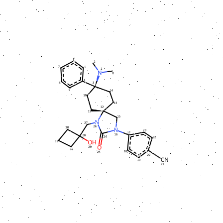 CN(C)[C@]1(c2ccccc2)CC[C@@]2(CC1)CN(c1ccc(C#N)cc1)C(=O)N2CC1(O)CCC1